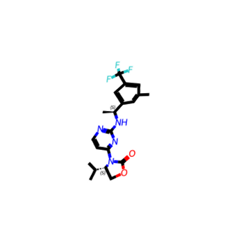 Cc1cc([C@H](C)Nc2nccc(N3C(=O)OC[C@@H]3C(C)C)n2)cc(C(F)(F)F)c1